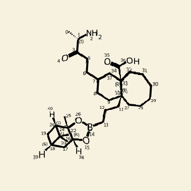 C[C@H](N)C(=O)CCC1CC[C@@]2(CCCB3O[C@@H]4C[C@@H]5C[C@@H](C5(C)C)[C@]4(C)O3)CCCCCC[C@@]2(C(=O)O)C1